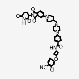 N#Cc1ccc(O[C@H]2C[C@H](NC(=O)c3ccc(N4CCN(CC5CCN(c6ccc7c(c6)C(=O)N(C6CCC(=O)NC6=O)C7=O)CC5)CC4)cc3)C2)cc1Cl